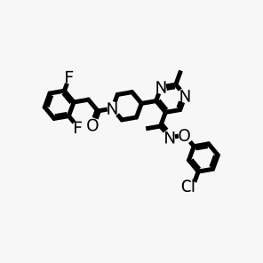 CC(=NOc1cccc(Cl)c1)c1cnc(C)nc1C1CCN(C(=O)Cc2c(F)cccc2F)CC1